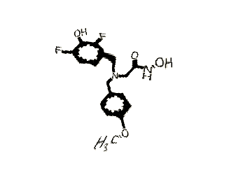 COc1ccc(CN(CC(=O)NO)Cc2ccc(F)c(O)c2F)cc1